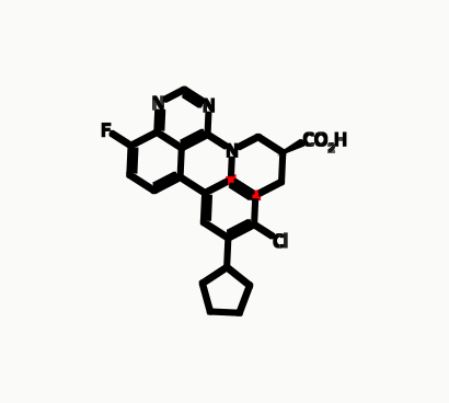 O=C(O)[C@H]1CCCN(c2ncnc3c(F)ccc(-c4ccc(Cl)c(C5CCCC5)c4)c23)C1